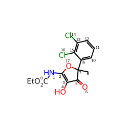 CCOC(=O)NC1=C(O)C(=O)C(C)(c2cccc(Cl)c2Cl)O1